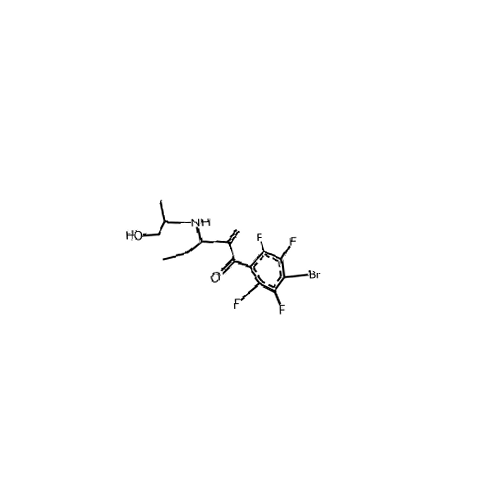 C=C(C(=O)c1c(F)c(F)c(Br)c(F)c1F)C(CC)NC(C)CO